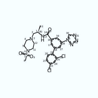 C[C@H](CN1CCN(S(C)(=O)=O)CC1)NC(=O)c1cc(-c2ccc(Cl)cc2Cl)cc(-n2cnnn2)c1